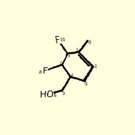 CC1=CCC(CO)C(F)C1F